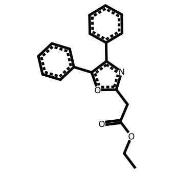 CCOC(=O)Cc1nc(-c2ccccc2)c(-c2ccccc2)o1